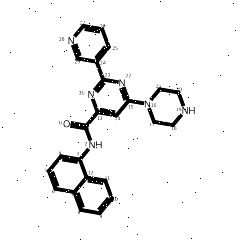 O=C(Nc1cccc2ccccc12)c1cc(N2CCNCC2)nc(-c2cccnc2)n1